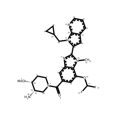 CO[C@@H]1CCN(C(=O)c2cc(OC(F)F)c3c(c2)nc(-c2cc4cccnc4n2CC2CC2)n3C)C[C@@H]1N